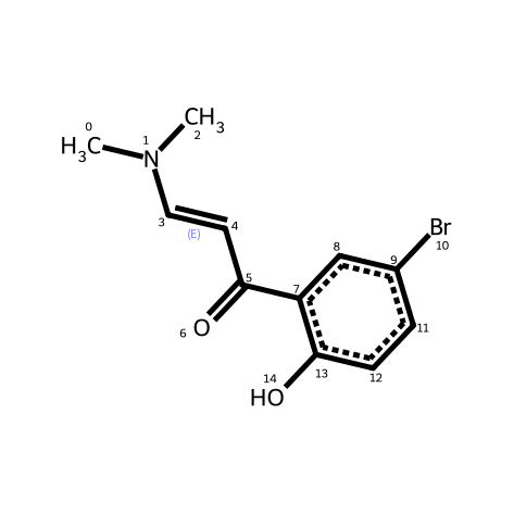 CN(C)/C=C/C(=O)c1cc(Br)ccc1O